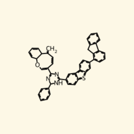 C=C1/C=C\C(C2=NC(c3ccccc3)NC(c3ccc4sc5cc(-c6cccc7c6Cc6ccccc6-7)ccc5c4c3)=N2)=C/OC2C=CC=CC12